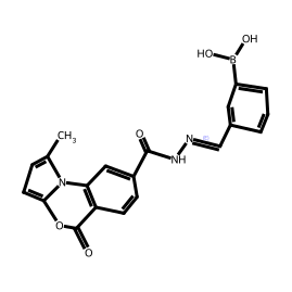 Cc1ccc2oc(=O)c3ccc(C(=O)N/N=C/c4cccc(B(O)O)c4)cc3n12